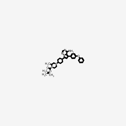 CC1CN(C2CCC(c3cc(-c4ccc(Oc5ccccc5)cc4)c4c(N)ncnn34)CC2)CCN1C(=O)OC(C)(C)C